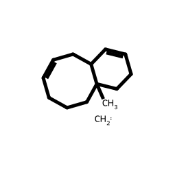 CC12CCC=CC1CC=CCCC2.[CH2]